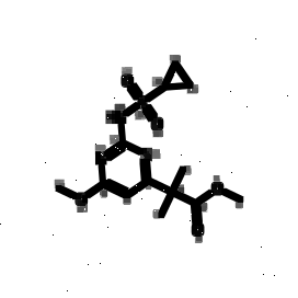 COC(=O)C(C)(C)c1cc(OC)nc(NS(=O)(=O)C2CC2)n1